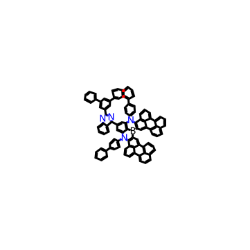 c1ccc(-c2ccc(N3c4cc(-c5nc(-c6cc(-c7ccccc7)cc(-c7ccccc7)c6)nc6ccccc56)cc5c4B(c4cc6c7cccc8cccc(c9cccc(c43)c96)c87)c3cc4c6cccc7cccc(c8cccc(c3N5c3ccc(-c5ccccc5)cc3)c84)c76)cc2)cc1